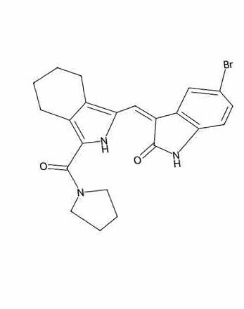 O=C1Nc2ccc(Br)cc2C1=Cc1[nH]c(C(=O)N2CCCC2)c2c1CCCC2